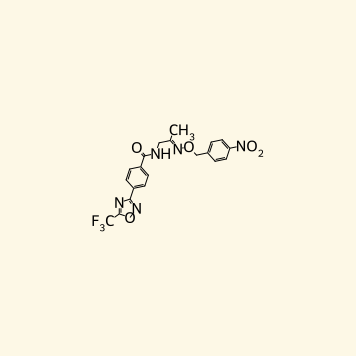 CC(CNC(=O)c1ccc(-c2noc(C(F)(F)F)n2)cc1)=NOCc1ccc([N+](=O)[O-])cc1